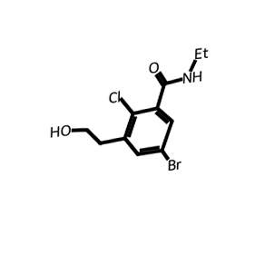 CCNC(=O)c1cc(Br)cc(CCO)c1Cl